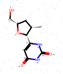 C[C@H]1C[C@@H](CO)O[C@H]1c1cc(=O)[nH]c(=O)[nH]1